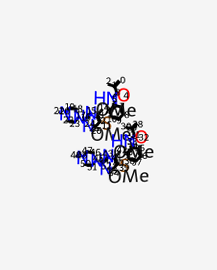 C=C(C)C(=O)Nc1cccc(Sc2c(OC)nc(N3CCN(C)CC3)nc2OC)c1.C=C(C)C(=O)Nc1cccc(Sc2c(OC)nc(N3CCN(C)CC3)nc2OC)c1